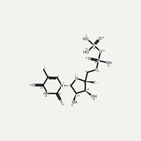 Cc1cn([C@@H]2O[C@](F)(COP(=O)(O)OP(=O)(O)O)[C@@H](O)[C@H]2O)c(=S)[nH]c1=O